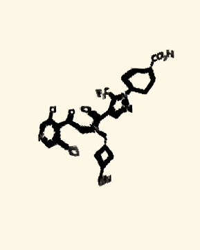 CC(C)(C)[C@H]1C[C@H](CN(CC(=O)c2c(Cl)cncc2Cl)C(=O)c2cnn([C@H]3CC[C@H](C(=O)O)CC3)c2C(F)(F)F)C1